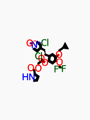 O=C(COC(=O)c1ccc[nH]1)O[C@@H](Cc1c(Cl)c[n+]([O-])cc1Cl)c1ccc(OC(F)F)c(OCC2CC2)c1